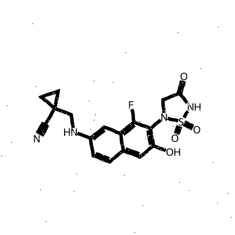 N#CC1(CNc2ccc3cc(O)c(N4CC(=O)NS4(=O)=O)c(F)c3c2)CC1